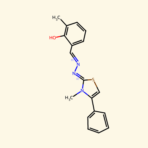 Cc1cccc(/C=N/N=c2\scc(-c3ccccc3)n2C)c1O